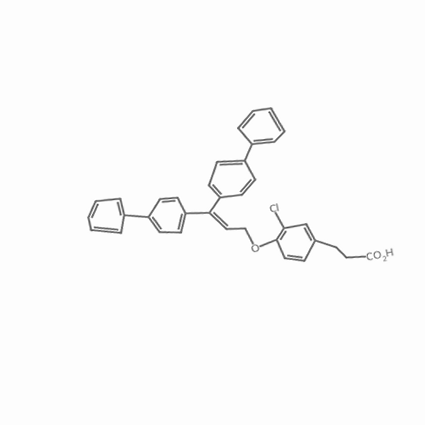 O=C(O)CCc1ccc(OCC=C(c2ccc(-c3ccccc3)cc2)c2ccc(-c3ccccc3)cc2)c(Cl)c1